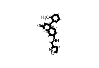 Cc1ccccc1-c1cc(=O)oc2cc(NCc3ccon3)ccc12